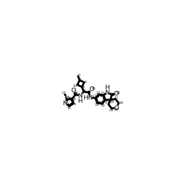 CC1CC(C(NC(=O)c2ccnn2C)C(=O)Nc2ccc3c(c2)NC(=O)C32CCOCC2)C1